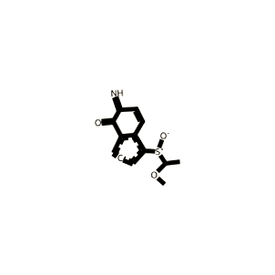 COC(C)[S+]([O-])c1cccc2c1C=CC(=N)C2=O